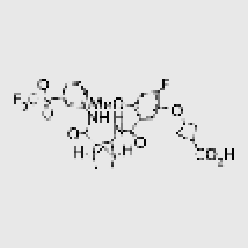 COc1cc(F)c(O[C@H]2C[C@H](C(=O)O)C2)cc1C(=O)NC1[C@H]2CC[C@H](C2)[C@@H]1C(=O)Nc1cccc(S(=O)(=O)C(F)(F)F)c1